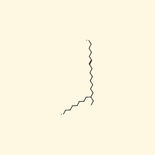 [CH2]CCCC/C=C/CCCCCCCC(CC)CCCCCCC[CH2]